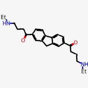 CCNCCCC(=O)c1ccc2c(c1)Cc1cc(C(=O)CCCNCC)ccc1-2